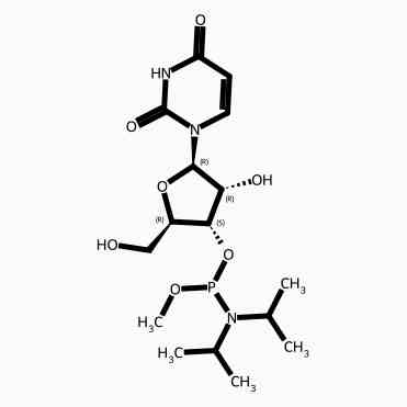 COP(O[C@H]1[C@@H](O)[C@H](n2ccc(=O)[nH]c2=O)O[C@@H]1CO)N(C(C)C)C(C)C